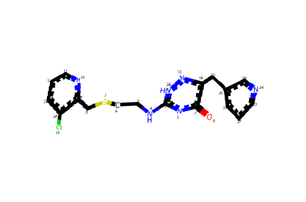 O=c1nc(NCCSCc2ncccc2Cl)[nH]nc1Cc1cccnc1